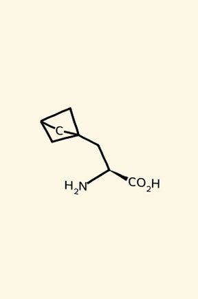 N[C@@H](CC12CC(C1)C2)C(=O)O